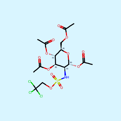 CC(=O)OC[C@H]1O[C@H](OC(C)=O)[C@@H](NS(=O)(=O)OCC(Cl)(Cl)Cl)[C@@H](OC(C)=O)[C@@H]1OC(C)=O